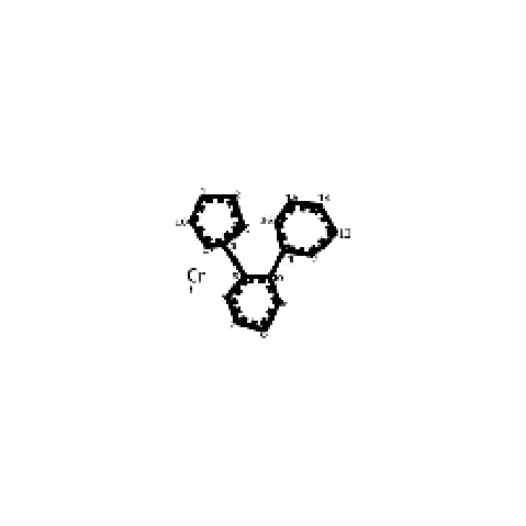 [Cr].c1ccc(-c2ccccc2-c2ccccc2)cc1